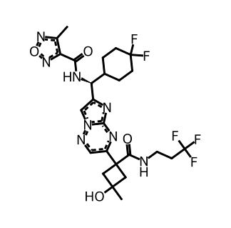 Cc1nonc1C(=O)N[C@H](c1cn2ncc(C3(C(=O)NCCC(F)(F)F)CC(C)(O)C3)nc2n1)C1CCC(F)(F)CC1